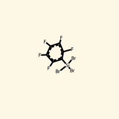 Fc1c(F)c(F)c([Si](Br)(Br)Br)c(F)c1F